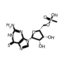 CP(=O)(O)OC[C@H]1O[C@@H](n2cnc3c(=S)[nH]c(N)nc32)[C@@H](O)[C@H]1O